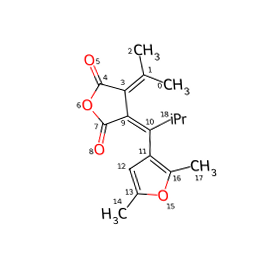 CC(C)=C1C(=O)OC(=O)C1=C(c1cc(C)oc1C)C(C)C